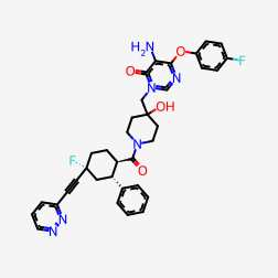 Nc1c(Oc2ccc(F)cc2)ncn(CC2(O)CCN(C(=O)[C@@H]3CC[C@](F)(C#Cc4cccnn4)C[C@H]3c3ccccc3)CC2)c1=O